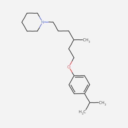 CC(CCCN1CCCCC1)CCOc1ccc(C(C)C)cc1